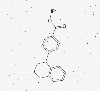 CC(C)OC(=O)c1ccc(C2CCCc3ccccc32)cc1